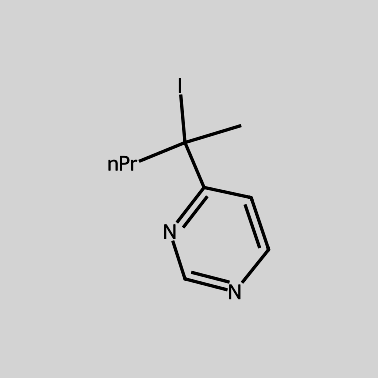 CCCC(C)(I)c1ccncn1